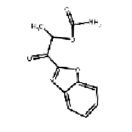 CC(OC(N)=O)C(=O)c1nc2ccccc2o1